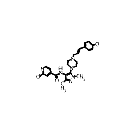 Cc1nn(C)c(N2CCN(CC=Cc3ccc(Cl)cc3)CC2)c1NC(=O)c1ccnc(Cl)c1